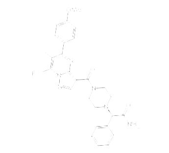 COc1ccc(-c2nc3c(C(=O)N4CCN([C@@H](C(N)=O)c5ccccc5)C[C@H]4C)cnn3c(C(F)(F)F)c2C)cc1